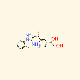 Cc1ccccc1-n1ncc(C(=O)c2cccc(C(O)CO)c2)c1N